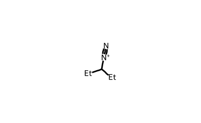 CCC(CC)[N+]#N